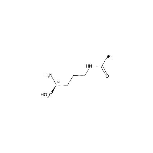 CC(C)C(=O)NCCC[C@H](N)C(=O)O